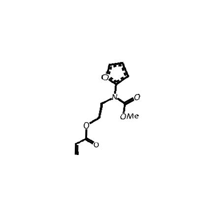 C=CC(=O)OCCN(C(=O)OC)c1ccco1